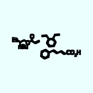 C=CC(=O)OCC(CC)CCCC.C=Cc1ccccc1C=C.O=C(O)C=CC=Cc1ccccc1